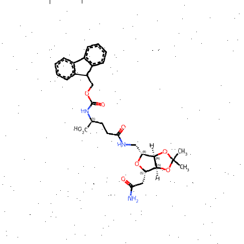 CC1(C)O[C@@H]2[C@H](O1)[C@@H](CNC(=O)CC[C@H](NC(=O)OCC1c3ccccc3-c3ccccc31)C(=O)O)O[C@H]2CC(N)=O